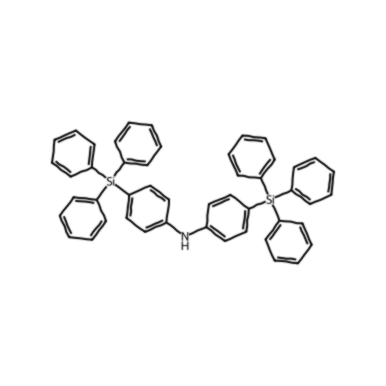 c1ccc([Si](c2ccccc2)(c2ccccc2)c2ccc(Nc3ccc([Si](c4ccccc4)(c4ccccc4)c4ccccc4)cc3)cc2)cc1